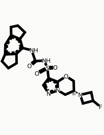 O=C(Nc1c2c(cc3c1CCC3)CCC2)NS(=O)(=O)c1cnn2c1OC[C@H](N1CC(F)C1)C2